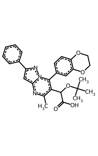 Cc1nc2cc(-c3ccccc3)nn2c(-c2ccc3c(c2)OCCO3)c1C(OC(C)(C)C)C(=O)O